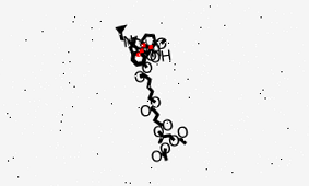 CO[C@]12CC[C@@]3(C[C@@H]1[C@](C)(O)C(C)(C)C)C1[N@](CC4CC4)C14Cc1ccc(OC(=O)CCCCOC(=O)CCC(=O)OC(COC(C)=O)COC(C)=O)c5c1[C@@]3(C4)[C@]2(C)O5